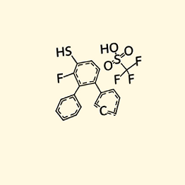 Fc1c(S)ccc(-c2ccccc2)c1-c1ccccc1.O=S(=O)(O)C(F)(F)F